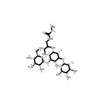 CC[C@H]1O[C@H](OC2[C@@H](C)C[C@@H](NCC(O)CNC(=O)OC(C)(C)C)[C@H](O[C@H]3O[C@H](CO)[C@@H](O)[C@H](N)[C@H]3O)[C@H]2O)[C@H](C)[C@@H](O)[C@@H]1O